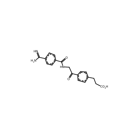 N=C(N)c1ccc(C(=O)NCC(=O)c2ccc(CCC(=O)O)cc2)cc1